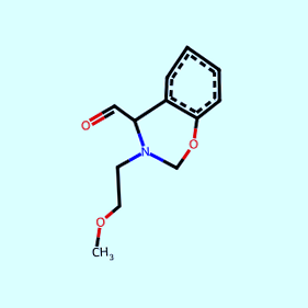 COCCN1COc2ccccc2C1C=O